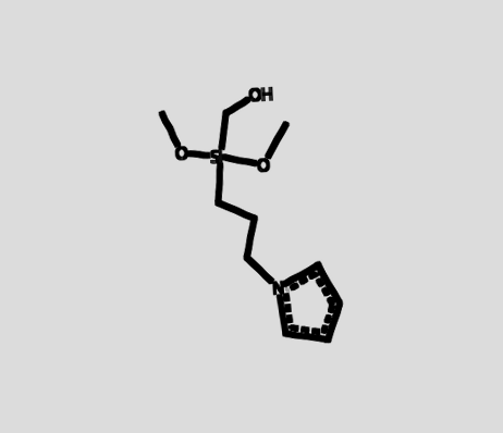 CO[Si](CO)(CCCn1cccc1)OC